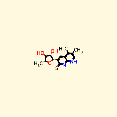 Cc1c[nH]c2nc(=S)c([C@@H]3O[C@H](C)C(O)[C@@H]3O)cc-2c1C